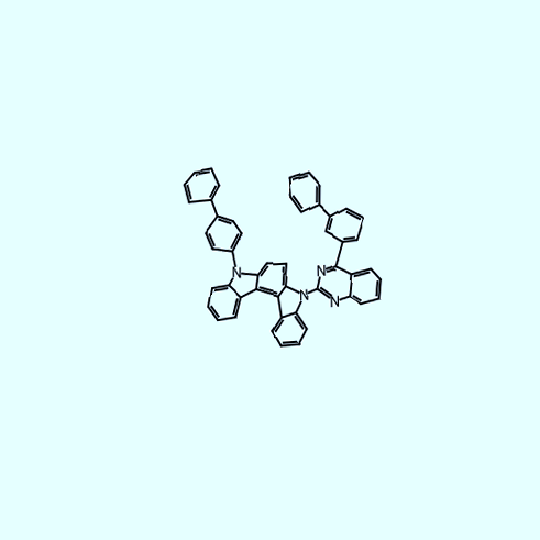 c1ccc(-c2ccc(-n3c4ccccc4c4c5c6ccccc6n(-c6nc(-c7cccc(-c8ccccc8)c7)c7ccccc7n6)c5ccc43)cc2)cc1